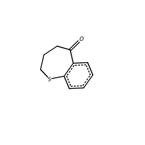 O=C1CCCSc2ccccc21